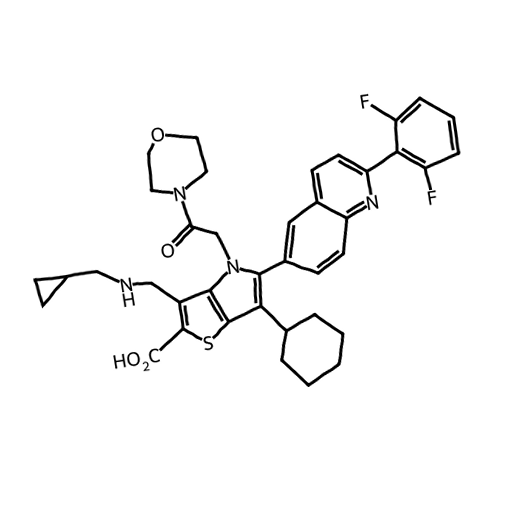 O=C(O)c1sc2c(C3CCCCC3)c(-c3ccc4nc(-c5c(F)cccc5F)ccc4c3)n(CC(=O)N3CCOCC3)c2c1CNCC1CC1